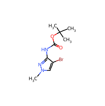 Cn1cc(Br)c(NC(=O)OC(C)(C)C)n1